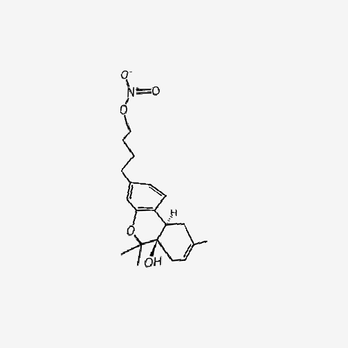 CC1=CC[C@@]2(O)[C@H](C1)c1ccc(CCCCO[N+](=O)[O-])cc1OC2(C)C